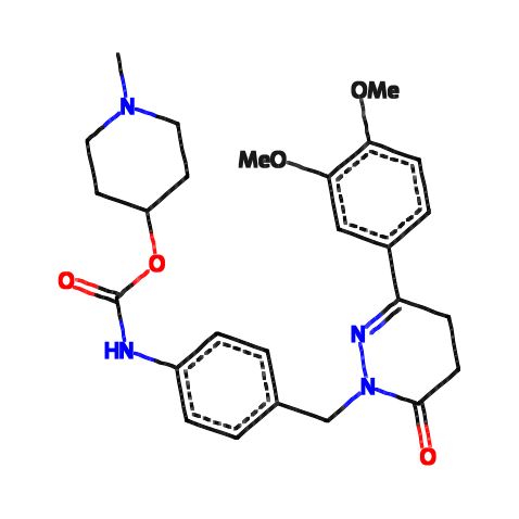 COc1ccc(C2=NN(Cc3ccc(NC(=O)OC4CCN(C)CC4)cc3)C(=O)CC2)cc1OC